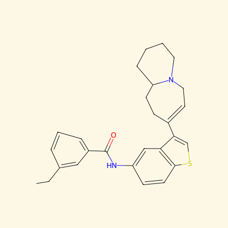 CCc1cccc(C(=O)Nc2ccc3scc(C4=CCN5CCCCC5CC4)c3c2)c1